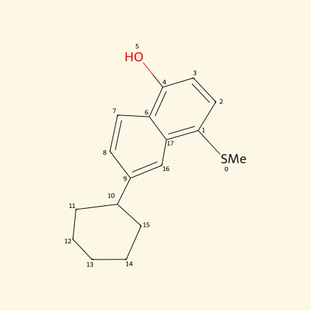 CSc1ccc(O)c2ccc(C3CCCCC3)cc12